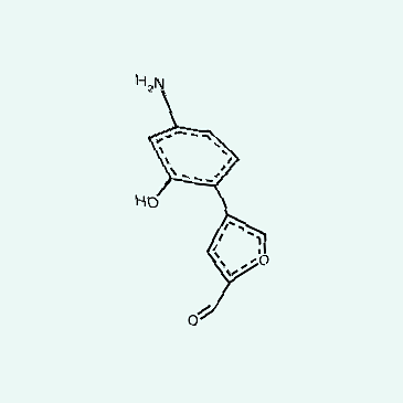 Nc1ccc(-c2coc(C=O)c2)c(O)c1